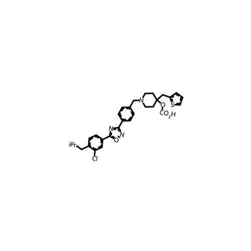 CC(C)Cc1ccc(-c2nc(-c3ccc(CN4CCC(Cc5cccs5)(OC(=O)O)CC4)cc3)no2)cc1Cl